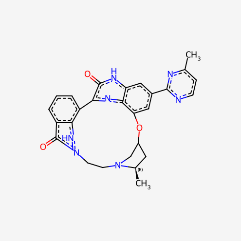 Cc1ccnc(-c2cc3c4nc(c(=O)[nH]c4c2)-c2cccc4c(=O)n([nH]c24)CCN2CC(C[C@H]2C)O3)n1